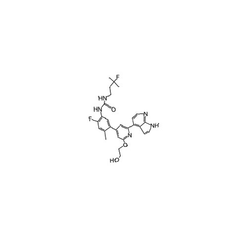 Cc1cc(F)c(NC(=O)NCCC(C)(C)F)cc1-c1cc(OCCO)nc(-c2ccnc3[nH]ccc23)c1